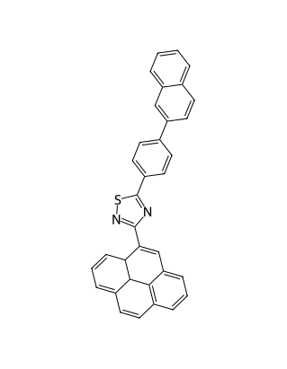 C1=CC2C(c3nsc(-c4ccc(-c5ccc6ccccc6c5)cc4)n3)=Cc3cccc4c3C2C(=C1)C=C4